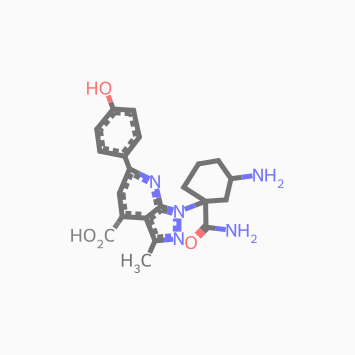 Cc1nn(C2(C(N)=O)CCCC(N)C2)c2nc(-c3ccc(O)cc3)cc(C(=O)O)c12